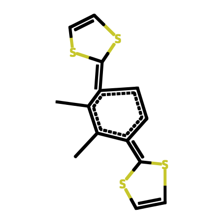 Cc1c(C)c(=C2SC=CS2)ccc1=C1SC=CS1